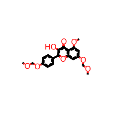 COCOc1ccc(-c2oc3cc(OCOC)cc(OC)c3c(=O)c2O)cc1